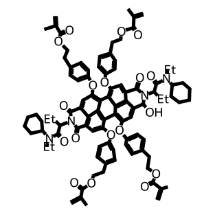 C=C(C)C(=O)OCCc1ccc(Oc2cc3c4c(cc(Oc5ccc(CCOC(=O)C(=C)C)cc5)c5c6c(Oc7ccc(CCOC(=O)C(=C)C)cc7)cc7c8c(cc(Oc9ccc(CCOC(=O)C(=C)C)cc9)c(c2c45)c86)C(=O)N(C(CC)C(=O)N(CC)C2CCCCC2)C7O)C(=O)N(C(CC)C(=O)N(CC)C2CCCCC2)C3=O)cc1